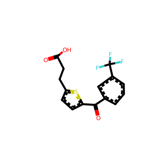 O=C(O)CCc1ccc(C(=O)c2cccc(C(F)(F)F)c2)s1